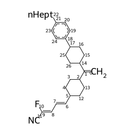 C=C(C1CCC(C=CC=C(F)C#N)CC1)C1CCC(c2ccc(CCCCCCC)cc2)CC1